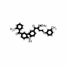 CCn1c2ccc(C(=O)/C(CCSc3cccc(C)c3)=N/OC(C)=O)cc2c2cc(C(=O)c3ccccc3C)ccc21